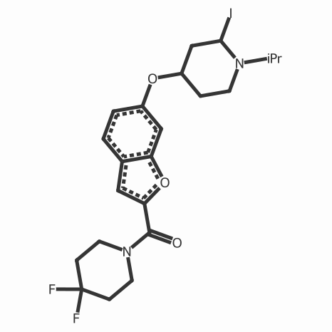 CC(C)N1CCC(Oc2ccc3cc(C(=O)N4CCC(F)(F)CC4)oc3c2)CC1I